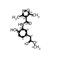 COC(=O)Cc1ccc(O)c(NC(=O)c2c(C)noc2C)c1